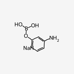 Nc1cccc(OB(O)O)c1.[NaH]